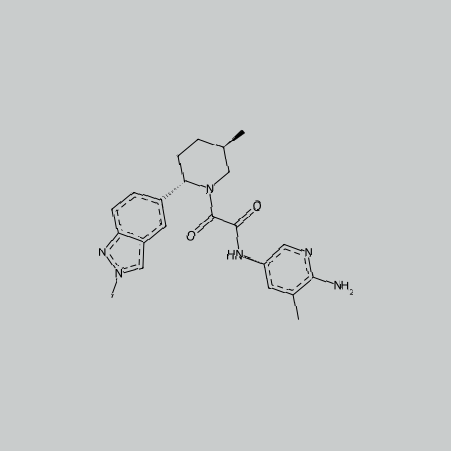 Cc1cc(NC(=O)C(=O)N2C[C@H](C)CC[C@H]2c2ccc3nn(C)cc3c2)cnc1N